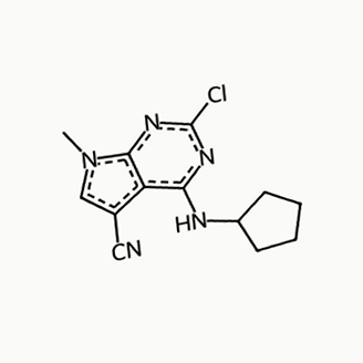 Cn1cc(C#N)c2c(NC3CCCC3)nc(Cl)nc21